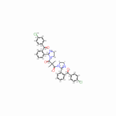 CC(C)(C(=O)N1CCN=C1c1ccccc1C(=O)c1ccc(Cl)cc1)C(=O)N1CCN=C1c1ccccc1C(=O)c1ccc(Cl)cc1